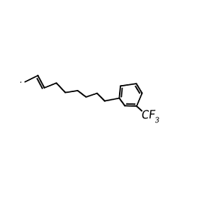 [CH2]C=CCCCCCCc1cccc(C(F)(F)F)c1